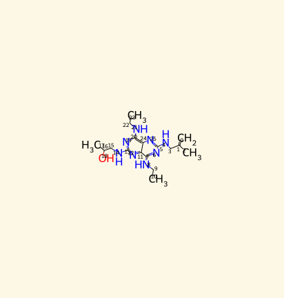 C=C(C)CNc1nc(NCC)c2nc(NCC(C)O)nc(NCC)c2n1